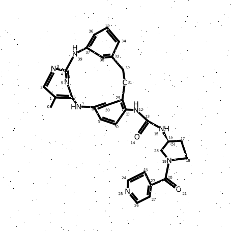 Cc1cnc2nc1Nc1ccc(NC(=O)N[C@H]3CCN(C(=O)c4ccncc4)C3)c(c1)CCc1cccc(c1)N2